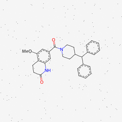 COc1cc(C(=O)N2CCC(C(c3ccccc3)c3ccccc3)CC2)cc2c1CCC(=O)N2